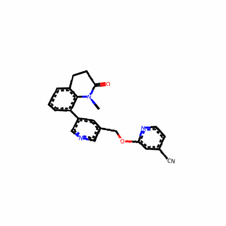 CN1C(=O)CCc2cccc(-c3cncc(COc4cc(C#N)ccn4)c3)c21